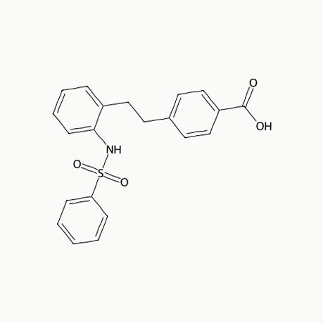 O=C(O)c1ccc(CCc2ccccc2NS(=O)(=O)c2ccccc2)cc1